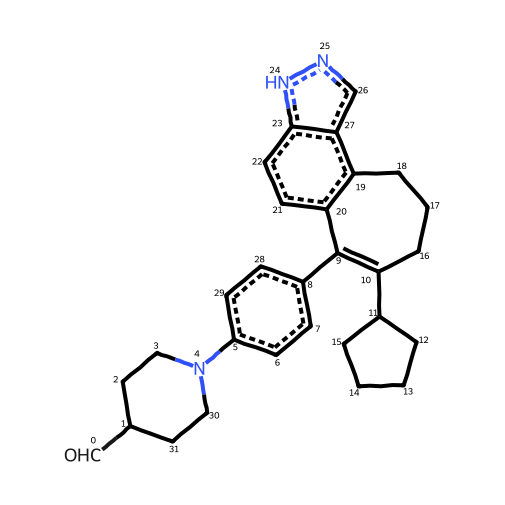 O=CC1CCN(c2ccc(C3=C(C4CCCC4)CCCc4c3ccc3[nH]ncc43)cc2)CC1